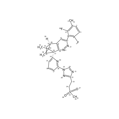 Cc1ccc(F)c(-c2cc3c(nn2)[C@@]2(c4cccc(-n5cnc(CCS(C)(=O)=O)n5)n4)CC[C@@H]3C2(C)C)c1F